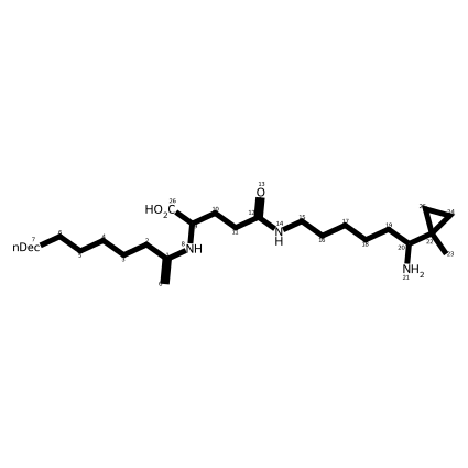 C=C(CCCCCCCCCCCCCCC)NC(CCC(=O)NCCCCCC(N)C1(C)CC1)C(=O)O